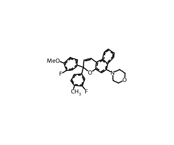 COc1ccc(C2(c3ccc(C)c(F)c3)C=Cc3c(cc(N4CCOCC4)c4ccccc34)O2)cc1F